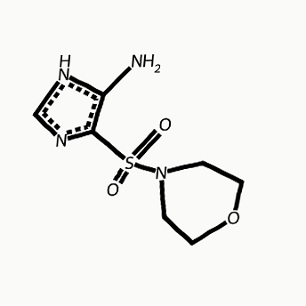 Nc1[nH]cnc1S(=O)(=O)N1CCOCC1